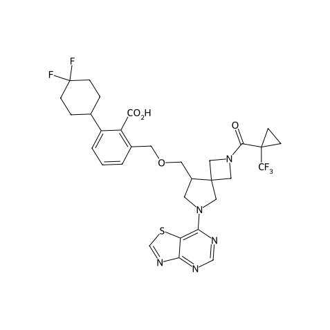 O=C(O)c1c(COCC2CN(c3ncnc4ncsc34)CC23CN(C(=O)C2(C(F)(F)F)CC2)C3)cccc1C1CCC(F)(F)CC1